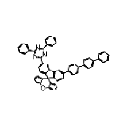 c1ccc(-c2ccc(-c3ccc(-c4ccc5c(c4)-c4cc(-c6nc(-c7ccccc7)nc(-c7ccccc7)n6)ccc4C54c5ccccc5Oc5ccccc54)cc3)cc2)cc1